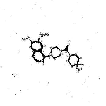 COc1cc2ccnc(N3CCN(C(=O)N4CCC(C)(O)CC4)CC3)c2cc1OC